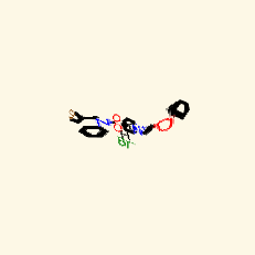 O=C(O[C@H]1C[N+]2(CCOc3ccccc3)CCC1CC2)N(Cc1ccsc1)c1ccccc1.[Br-]